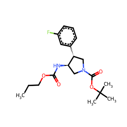 CCCOC(=O)N[C@@H]1CN(C(=O)OC(C)(C)C)C[C@H]1c1cccc(F)c1